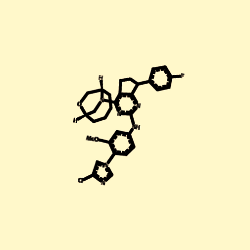 COc1cc(Nc2nc3c(c(N4C[C@@H]5CCCC[C@H]4CO5)n2)CCC3c2ccc(F)cc2)ccc1-n1cnc(Cl)c1